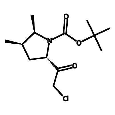 C[C@@H]1C[C@@H](C(=O)CCl)N(C(=O)OC(C)(C)C)[C@@H]1C